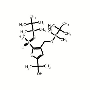 CC(C)(O)c1nc(CO[Si](C)(C)C(C)(C)C)c(S(C)(=O)=N[Si](C)(C)C(C)(C)C)s1